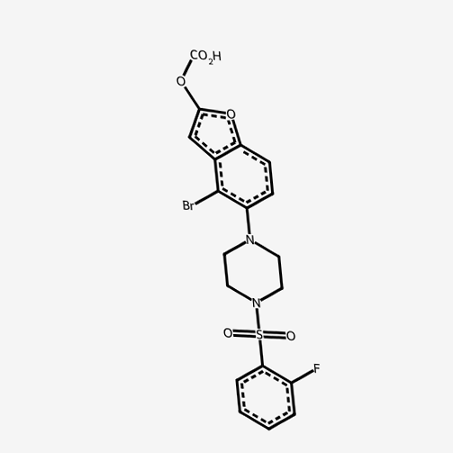 O=C(O)Oc1cc2c(Br)c(N3CCN(S(=O)(=O)c4ccccc4F)CC3)ccc2o1